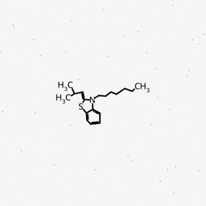 CCCCCCCN1/C(=C/C(C)C)Sc2ccccc21